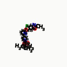 Cc1nc2cc(F)c(COc3cccc(C4CCN(C(=O)OC(C)(C)C)CC4)n3)cc2o1